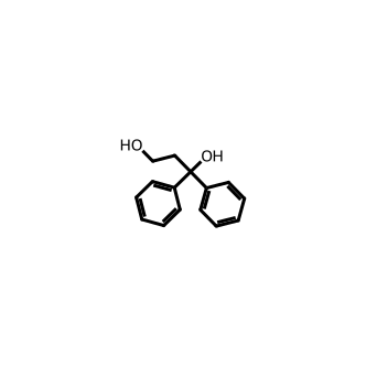 OCCC(O)(c1ccccc1)c1ccccc1